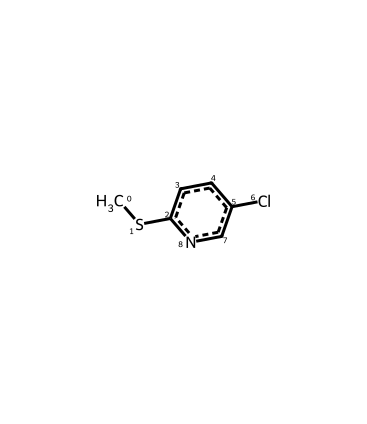 CSc1ccc(Cl)cn1